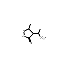 CC1ONC(=O)C1C(C)C(=O)O